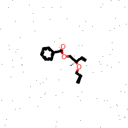 C=CCO[C@](C)(C=C)COC(=O)c1ccccc1